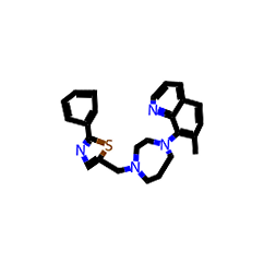 Cc1ccc2cccnc2c1N1CCCN(Cc2cnc(-c3ccccc3)s2)CC1